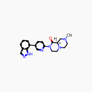 N#CN1CCN2CCN(c3ccc(-c4cccc5cn[nH]c45)cn3)C(=O)[C@H]2C1